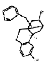 CC(=O)C1CC2C3Cc4ccc(O)cc4[C@]2(C)CC1N3Cc1ccccc1